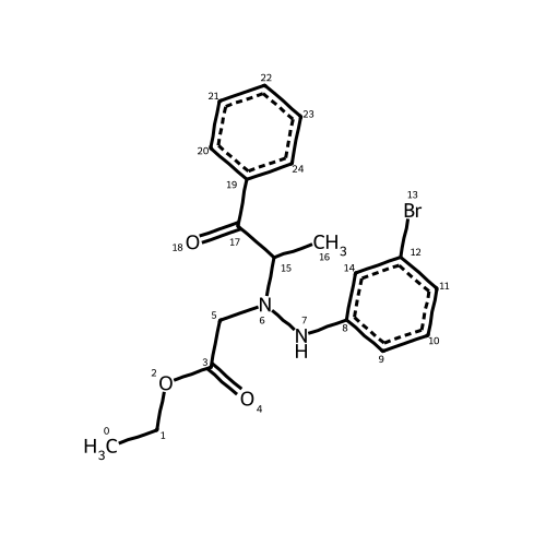 CCOC(=O)CN(Nc1cccc(Br)c1)C(C)C(=O)c1ccccc1